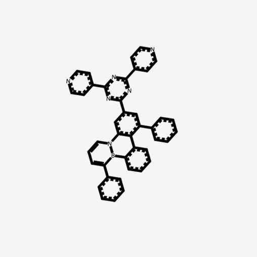 C1=CN2B(C(c3ccccc3)=C1)c1ccccc1-c1c(-c3ccccc3)cc(-c3nc(-c4ccncc4)nc(-c4ccncc4)n3)cc12